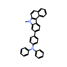 Cn1c2cc(-c3ccc(N(c4ccccc4)c4ccccc4)cc3)ccc2c2c3ccccc3ccc21